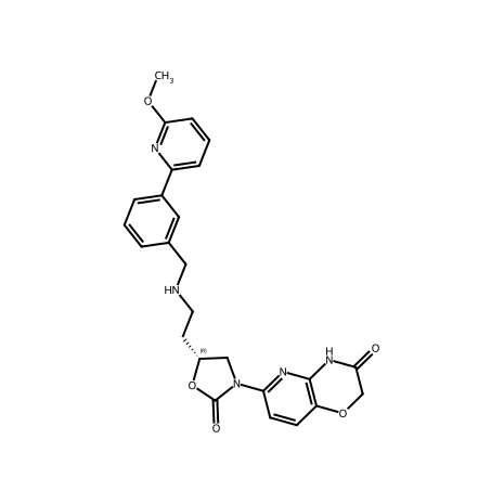 COc1cccc(-c2cccc(CNCC[C@@H]3CN(c4ccc5c(n4)NC(=O)CO5)C(=O)O3)c2)n1